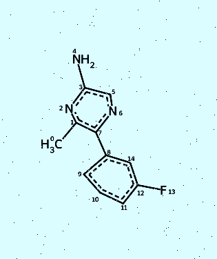 Cc1nc(N)cnc1-c1cccc(F)c1